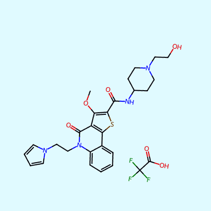 COc1c(C(=O)NC2CCN(CCO)CC2)sc2c1c(=O)n(CCn1cccc1)c1ccccc21.O=C(O)C(F)(F)F